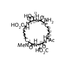 CN[C@H]1CSSC[C@@H](C(=O)O)NC(=O)C([C@@H](C)O)NC(=O)[C@@H](N)CSSC[C@@H](C(C)=O)NC(=O)[C@H](CC(=O)O)NC1=O